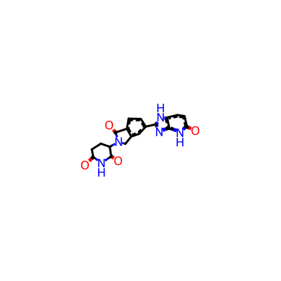 O=C1CCC(N2Cc3cc(-c4nc5[nH]c(=O)ccc5[nH]4)ccc3C2=O)C(=O)N1